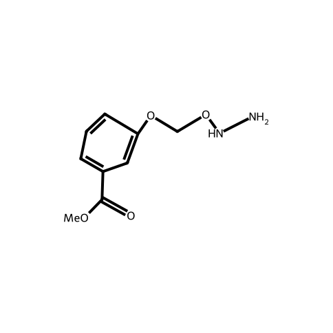 COC(=O)c1cccc(OCONN)c1